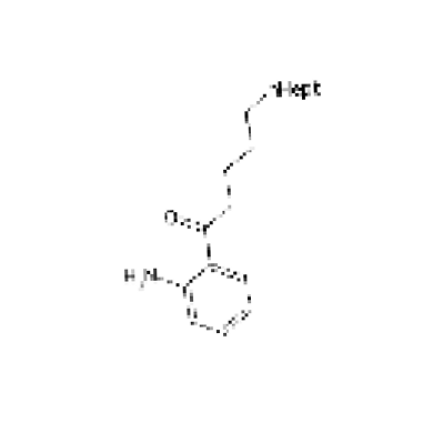 CCCCCCCCCCCC(=O)c1ccccc1N